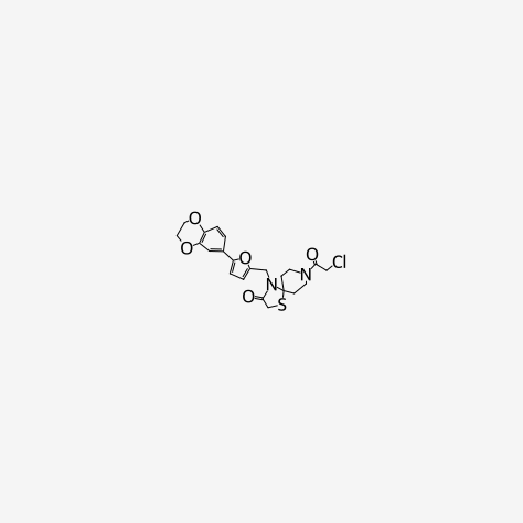 O=C(CCl)N1CCC2(CC1)SCC(=O)N2Cc1ccc(-c2ccc3c(c2)OCCO3)o1